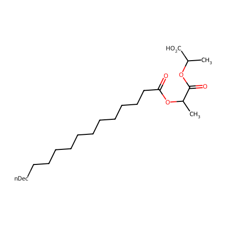 CCCCCCCCCCCCCCCCCCCCCC(=O)OC(C)C(=O)OC(C)C(=O)O